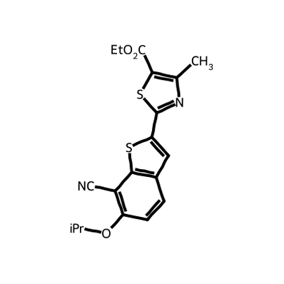 CCOC(=O)c1sc(-c2cc3ccc(OC(C)C)c(C#N)c3s2)nc1C